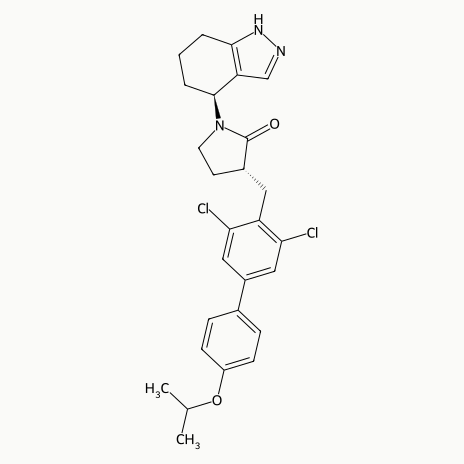 CC(C)Oc1ccc(-c2cc(Cl)c(C[C@@H]3CCN([C@H]4CCCc5[nH]ncc54)C3=O)c(Cl)c2)cc1